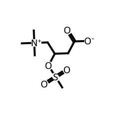 C[N+](C)(C)CC(CC(=O)[O-])OS(C)(=O)=O